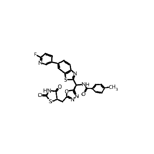 Cc1ccc(C(=O)NC(c2nnc(CC3SC(=O)NC3=O)o2)c2nc3ccc(-c4ccc(F)nc4)cc3s2)cc1